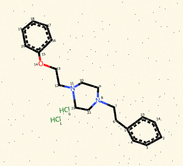 Cl.Cl.c1ccc(CCN2CCN(CCOc3ccccc3)CC2)cc1